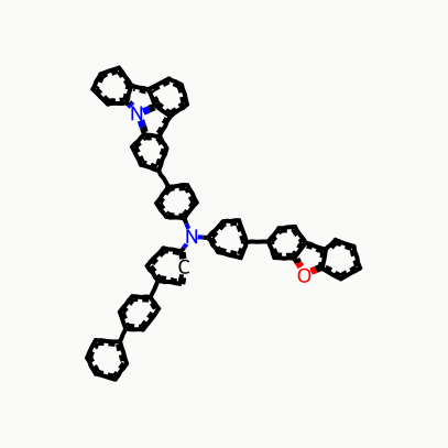 c1ccc(-c2ccc(-c3ccc(N(c4ccc(-c5ccc6c(c5)oc5ccccc56)cc4)c4ccc(-c5ccc6c(c5)c5cccc7c8ccccc8n6c75)cc4)cc3)cc2)cc1